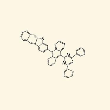 c1ccc(-c2cc(-c3ccccc3)nc(-c3c4ccccc4c(-c4ccc5c(c4)sc4cc6ccccc6cc45)c4ccccc34)n2)cc1